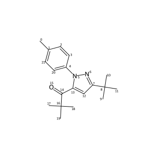 Cc1ccc(-n2nc(C(C)(C)C)cc2C(=O)C(C)(C)C)cc1